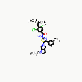 CCOC(=O)/C(C)=C/c1c(Cl)cc(C(=O)Nc2nc(-c3cccc(C(F)(F)F)c3)c(N3CC4CCN(C(=O)O)C4C3)s2)cc1Cl